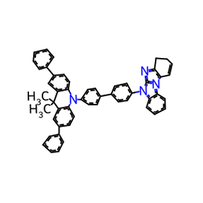 CC1(C)c2cc(-c3ccccc3)ccc2N(c2ccc(-c3ccc(-n4c5ccccc5n5c6c(nc45)CCC=C6)cc3)cc2)c2ccc(-c3ccccc3)cc21